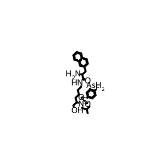 CC(C)CN(C(CO)CCCCNC(=O)C(N)Cc1ccc2ccccc2c1)S(=O)(=O)c1ccc(F)c([AsH2])c1